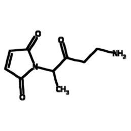 CC(C(=O)CCN)N1C(=O)C=CC1=O